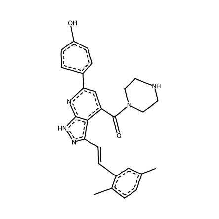 Cc1ccc(C)c(C=Cc2n[nH]c3nc(-c4ccc(O)cc4)cc(C(=O)N4CCNCC4)c23)c1